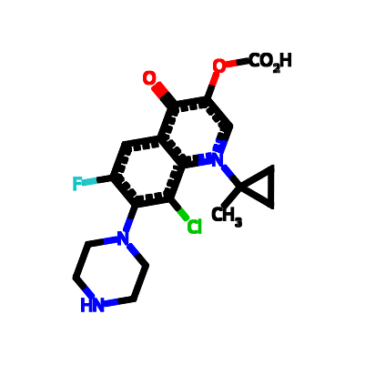 CC1(n2cc(OC(=O)O)c(=O)c3cc(F)c(N4CCNCC4)c(Cl)c32)CC1